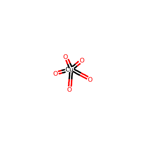 [O]=[Cu](=[O])(=[O])(=[O])=[O]